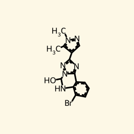 Cc1c(-c2nc3n(n2)C(O)Nc2c(Br)cccc2-3)cnn1C